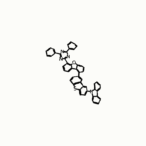 c1ccc(-c2nc(-c3ccccc3)nc(-c3cccc4c3oc3cccc(-c5ccc6sc7ccc(-n8c9ccccc9c9ccccc98)cc7c6c5)c34)n2)cc1